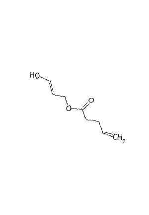 C=CCCC(=O)OCC=CO